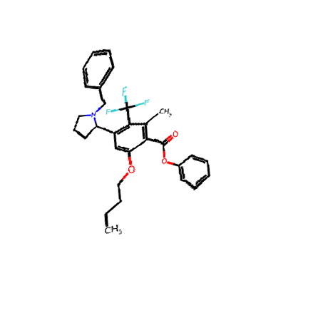 CCCCOc1cc(C2CCCN2Cc2ccccc2)c(C(F)(F)F)c(C)c1C(=O)Oc1ccccc1